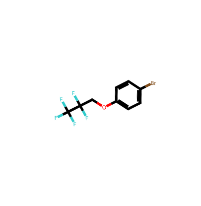 FC(F)(F)C(F)(F)COc1ccc(Br)cc1